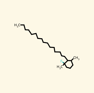 CCCCCCCCCCCCCCCCC1C(C)CCCC1(C)F